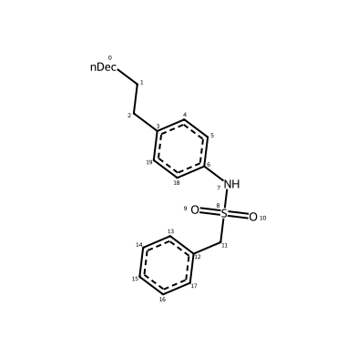 CCCCCCCCCCCCc1ccc(NS(=O)(=O)Cc2ccccc2)cc1